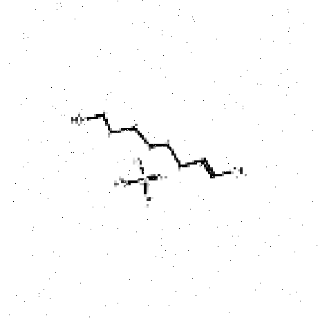 CC=CCCCCCCN.O=P(O)(O)O